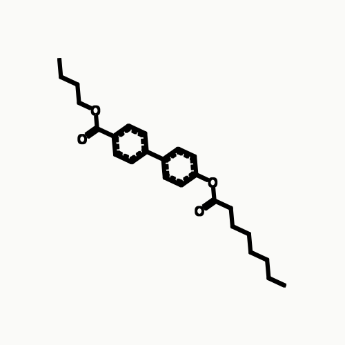 CCCCCCCC(=O)Oc1ccc(-c2ccc(C(=O)OCCCC)cc2)cc1